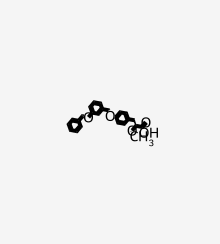 CO[C@@H](Cc1ccc(OCc2cccc(OCc3ccccc3)c2)cc1)C(=O)O